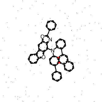 c1ccc(-c2ccc(N(c3ccccc3-c3ccc4ccccc4c3)c3c4nc(-c5ccccc5)oc4cc4c3oc3ccccc34)cc2)cc1